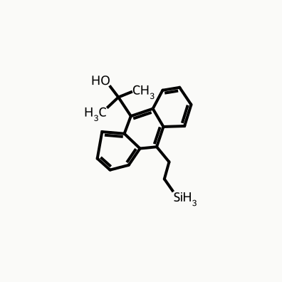 CC(C)(O)c1c2ccccc2c(CC[SiH3])c2ccccc12